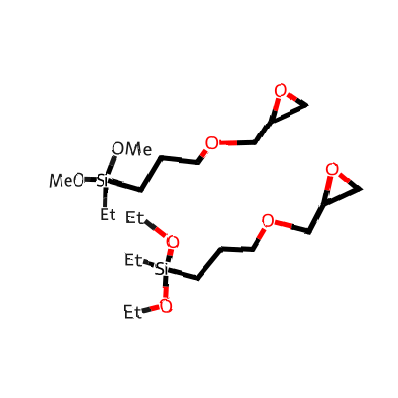 CCO[Si](CC)(CCCOCC1CO1)OCC.CC[Si](CCCOCC1CO1)(OC)OC